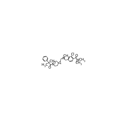 CN(Cc1ccc(C(=O)N(C)C)c(Cl)c1)CC1CC12CCN(C(=O)C(C)(C)c1ccccc1)CC2